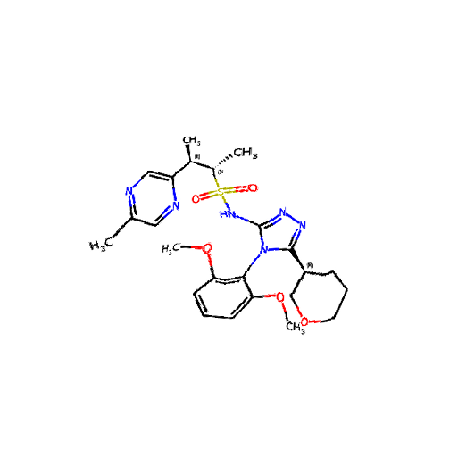 COc1cccc(OC)c1-n1c(NS(=O)(=O)[C@@H](C)[C@H](C)c2cnc(C)cn2)nnc1[C@H]1CCCOC1